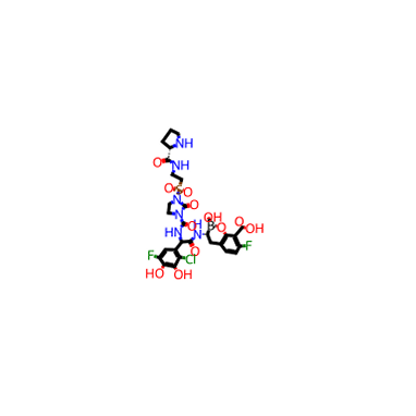 O=C(O)c1c(F)ccc2c1OB(O)[C@@H](NC(=O)C(NC(=O)N1CCN(S(=O)(=O)CCNC(=O)[C@@H]3CCCN3)C1=O)c1cc(F)c(O)c(O)c1Cl)C2